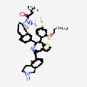 C=CC(=O)N[C@H]1CCc2ccc(-c3nc(-c4ccc5c(c4)CCNC5)c4ccsc4c3-c3ccc(F)cc3OCCOC)cc21